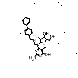 Cc1c(O)nc(N)nc1N(/C=N/Cc1ccc(-c2ccccc2)cc1)C1OC(CO)C(O)C1O